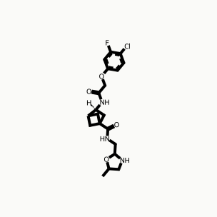 CC1CNC(CNC(=O)C23CC(C2)[C@@H](NC(=O)COc2ccc(Cl)c(F)c2)C3)O1